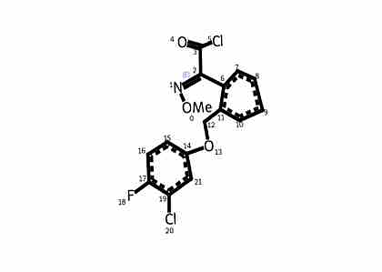 CO/N=C(/C(=O)Cl)c1ccccc1COc1ccc(F)c(Cl)c1